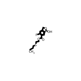 CCCCSCCOC(=O)c1cc2c(cc1F)COB2O